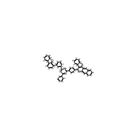 c1ccc(-c2nc(-c3ccc(-c4nc5cc6ccccc6cc5c5sc6ccccc6c45)cc3)nc(-c3cccc(-c4cccc5c4oc4ccccc45)c3)n2)cc1